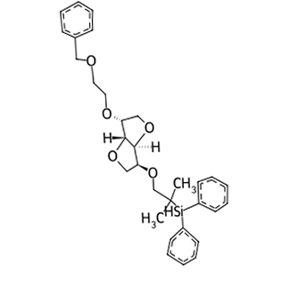 CC(C)(CO[C@H]1CO[C@H]2[C@H]1OC[C@H]2OCCOCc1ccccc1)[SiH](c1ccccc1)c1ccccc1